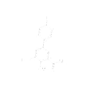 COc1c(C)cc(-c2ccc(F)cc2)cc1C(N)=O